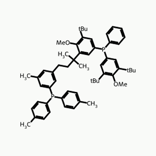 COc1c(C(C)(C)C)cc(P(c2ccccc2)c2cc(C(C)(C)C)c(OC)c(C(C)(C)CCc3cc(C)cc(P(c4ccc(C)cc4)c4ccc(C)cc4)c3)c2)cc1C(C)(C)C